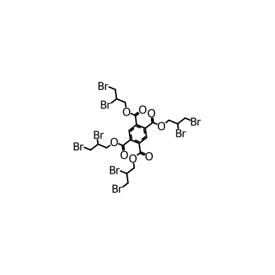 O=C(OCC(Br)CBr)c1cc(C(=O)OCC(Br)CBr)c(C(=O)OCC(Br)CBr)cc1C(=O)OCC(Br)CBr